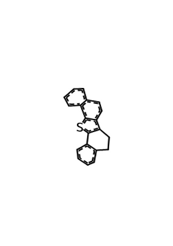 c1ccc2c(c1)CCc1c-2sc2c1ccc1ccccc12